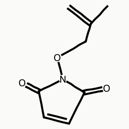 C=C(C)CON1C(=O)C=CC1=O